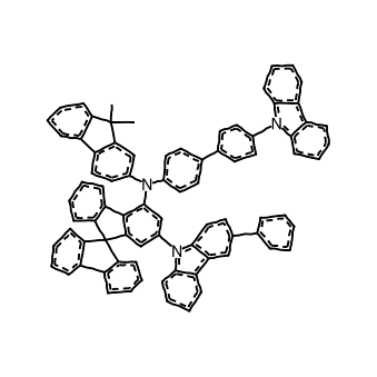 CC1(C)c2ccccc2-c2ccc(N(c3ccc(-c4ccc(-n5c6ccccc6c6ccccc65)cc4)cc3)c3cc(-n4c5ccccc5c5cc(-c6ccccc6)ccc54)cc4c3-c3ccccc3C43c4ccccc4-c4ccccc43)cc21